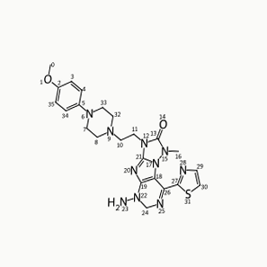 COc1ccc(N2CCN(CCn3c(=O)n(C)n4c5c(nc34)N(N)CN=C5c3nccs3)CC2)cc1